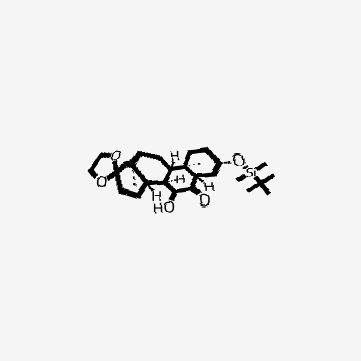 CC(C)(C)[Si](C)(C)O[C@H]1CC[C@@]2(C)[C@H](C1)C(=O)C(O)[C@@H]1[C@@H]2CC[C@@]2(C)[C@H]1CCC21OCCO1